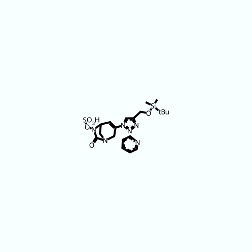 CC(C)(C)[Si](C)(C)OCc1cn(C2=CC3CN(C2)C(=O)N3OS(=O)(=O)O)nn1.c1ccncc1